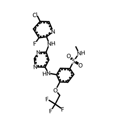 CNS(=O)(=O)c1ccc(OCC(F)(F)F)c(Nc2cc(Nc3ncc(Cl)cc3F)ncn2)c1